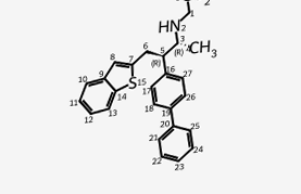 CCOC(=O)CN[C@H](C)[C@H](Cc1cc2ccccc2s1)c1ccc(-c2ccccc2)cc1